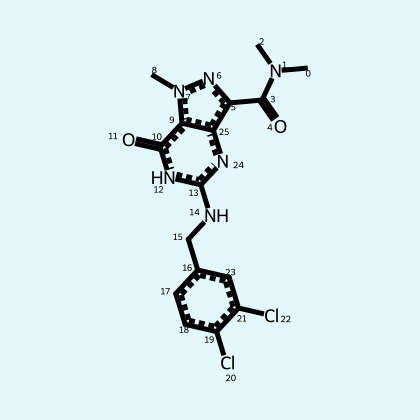 CN(C)C(=O)c1nn(C)c2c(=O)[nH]c(NCc3ccc(Cl)c(Cl)c3)nc12